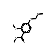 COCOc1ccc(C(=O)OC)c(OC)c1